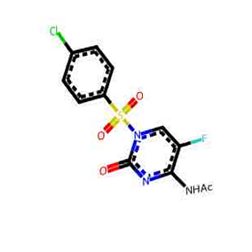 CC(=O)Nc1nc(=O)n(S(=O)(=O)c2ccc(Cl)cc2)cc1F